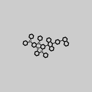 c1ccc(N(c2ccccc2)c2ccc3c(c2)N(c2ccccc2)c2cc(-c4c5ccccc5c(-c5ccc(-c6cccc7ccccc67)cc5)c5ccccc45)cc4c2B3c2ccccc2N4c2ccccc2)cc1